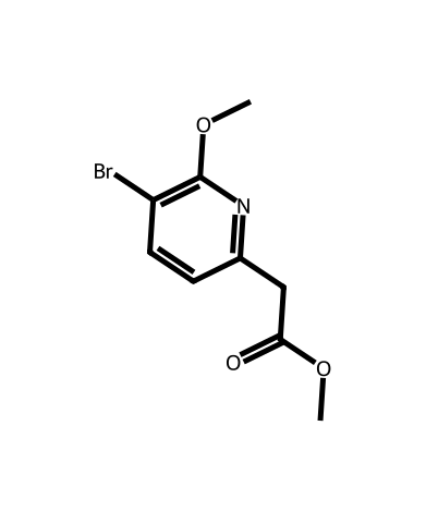 COC(=O)Cc1ccc(Br)c(OC)n1